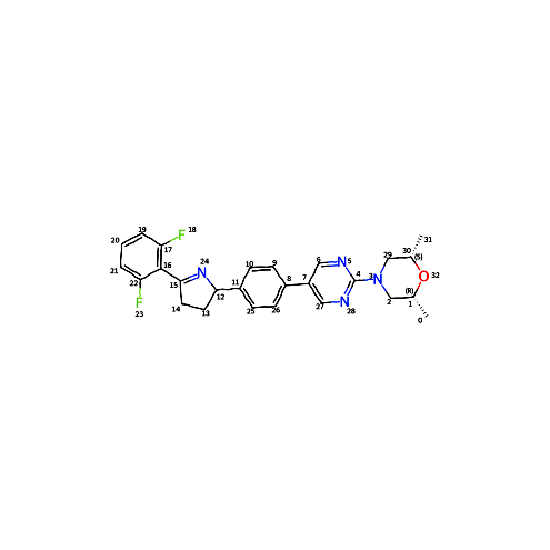 C[C@@H]1CN(c2ncc(-c3ccc(C4CCC(c5c(F)cccc5F)=N4)cc3)cn2)C[C@H](C)O1